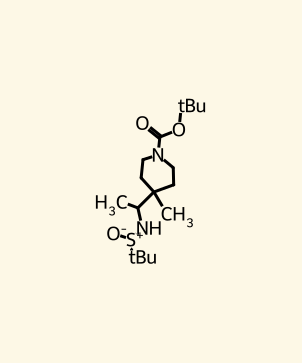 CC(N[S@@+]([O-])C(C)(C)C)C1(C)CCN(C(=O)OC(C)(C)C)CC1